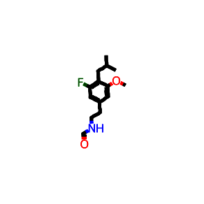 COc1cc(CCNC=O)cc(F)c1CC(C)C